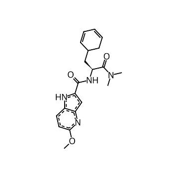 COc1ccc2[nH]c(C(=O)N[C@@H](CC3C=CC=CC3)C(=O)N(C)C)cc2n1